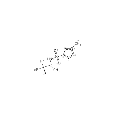 CC(NS(=O)(=O)c1ccn(C)c1)C(F)(F)F